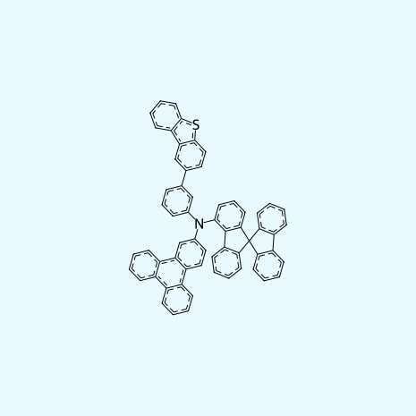 c1cc(-c2ccc3sc4ccccc4c3c2)cc(N(c2ccc3c4ccccc4c4ccccc4c3c2)c2cccc3c2-c2ccccc2C32c3ccccc3-c3ccccc32)c1